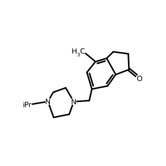 Cc1cc(CN2CCN(C(C)C)CC2)cc2c1CCC2=O